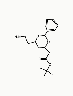 CC(C)(C)OC(=O)CC1CC(CCN)OC(c2ccccc2)O1